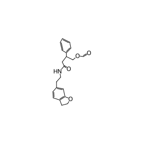 O=COCC(CC(=O)NCCc1ccc2c(c1)OCC2)c1ccccc1